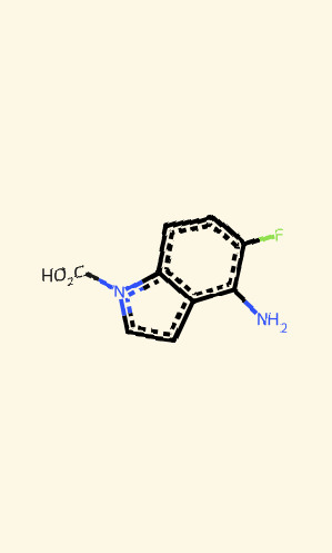 Nc1c(F)ccc2c1ccn2C(=O)O